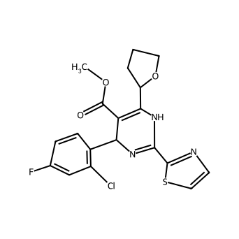 COC(=O)C1=C(C2CCCO2)NC(c2nccs2)=NC1c1ccc(F)cc1Cl